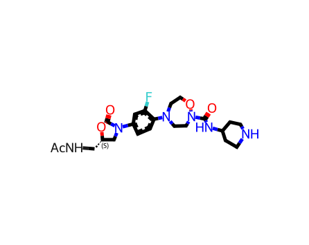 CC(=O)NC[C@H]1CN(c2ccc(N3CCON(C(=O)NC4CCNCC4)CC3)c(F)c2)C(=O)O1